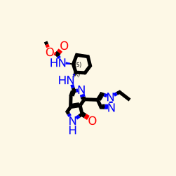 CCn1cc(-c2nc(N[C@@H]3CCCC[C@@H]3NC(=O)OC)cc3c2C(=O)NC3)cn1